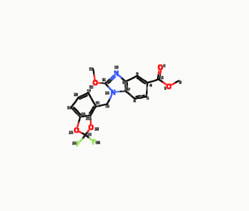 COC(=O)c1ccc2c(c1)nc(OC)n2Cc1cccc2c1OC(F)(F)O2